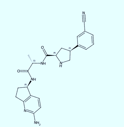 C[C@H](NC(=O)[C@H]1C[C@@H](c2cccc(C#N)c2)CN1)C(=O)N[C@@H]1CCc2nc(N)ccc21